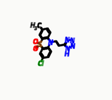 Cc1ccc2c(c1)S(=O)(=O)c1cc(Cl)ccc1N2CCc1nnn[nH]1